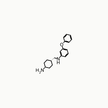 N[C@H]1CC[C@H](CNc2cccc(Oc3ccccc3)c2)CC1